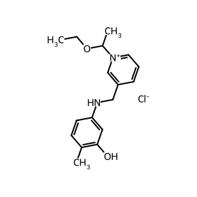 CCOC(C)[n+]1cccc(CNc2ccc(C)c(O)c2)c1.[Cl-]